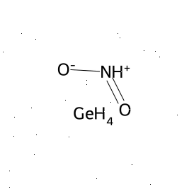 O=[NH+][O-].[GeH4]